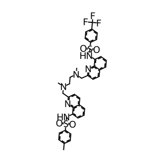 Cc1ccc(S(=O)(=O)Nc2cccc3ccc(CN(C)CCN(C)Cc4ccc5cccc(NS(=O)(=O)c6ccc(C(F)(F)F)cc6)c5n4)nc23)cc1